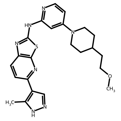 COCCC1CCN(c2ccnc(Nc3nc4ccc(-c5cn[nH]c5C)nc4s3)c2)CC1